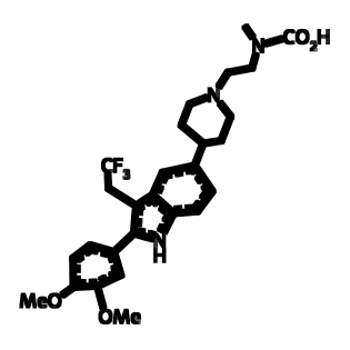 COc1ccc(-c2[nH]c3ccc(C4CCN(CCN(C)C(=O)O)CC4)cc3c2CC(F)(F)F)cc1OC